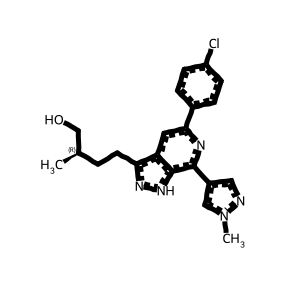 C[C@@H](CO)CCc1n[nH]c2c(-c3cnn(C)c3)nc(-c3ccc(Cl)cc3)cc12